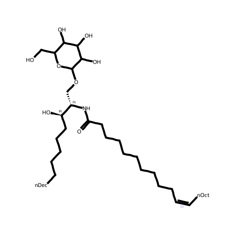 CCCCCCCC/C=C\CCCCCCCCCC(=O)N[C@@H](COC1OC(CO)C(O)C(O)C1O)[C@H](O)CCCCCCCCCCCCCCC